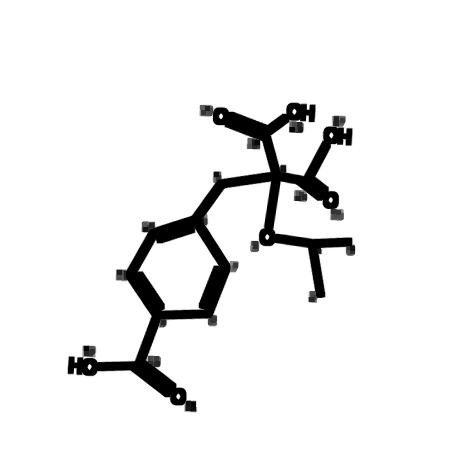 CC(C)OC(Cc1ccc(C(=O)O)cc1)(C(=O)O)C(=O)O